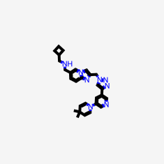 CC1(C)C=CN(c2cncc(-c3cn(Cc4cn5cc(CNCC6CCC6)ccc5n4)nn3)c2)C=C1